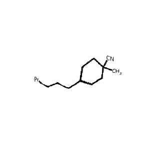 CC(C)CCCC1CCC(C)(C#N)CC1